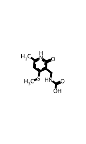 CSc1cc(C)[nH]c(=O)c1CNC(=O)O